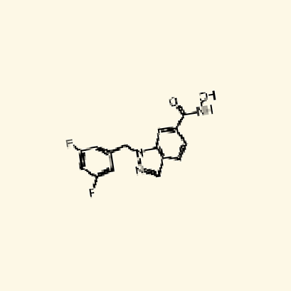 O=C(NO)c1ccc2cnn(Cc3cc(F)cc(F)c3)c2c1